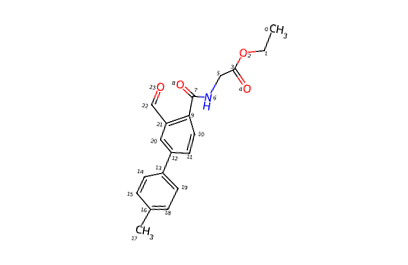 CCOC(=O)CNC(=O)c1ccc(-c2ccc(C)cc2)cc1C=O